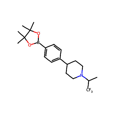 CC(N1CCC(c2ccc(B3OC(C)(C)C(C)(C)O3)cc2)CC1)C(F)(F)F